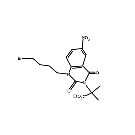 CCOC(=O)C(C)(C)n1c(=O)c2cc([N+](=O)[O-])ccc2n(CCCCBr)c1=O